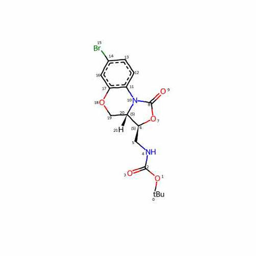 CC(C)(C)OC(=O)NC[C@@H]1OC(=O)N2c3ccc(Br)cc3OC[C@@H]12